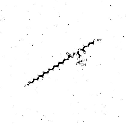 CCCCCCCCCCCCCCC(=O)O[C@H](COC(=O)CCCCCCCCCCCCCCCSC(C)=O)COP(=O)(O)O